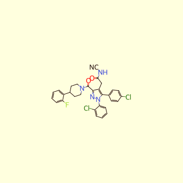 N#CNC(=O)Cc1c(C(=O)N2CCC(c3ccccc3F)CC2)nn(-c2ccccc2Cl)c1-c1ccc(Cl)cc1